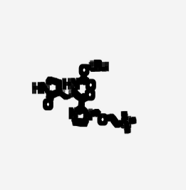 CC(C)(C)OC(=O)N[C@@H](C[C@@H]1CCNC1=O)C(=O)c1nccn1COCC[Si](C)(C)C